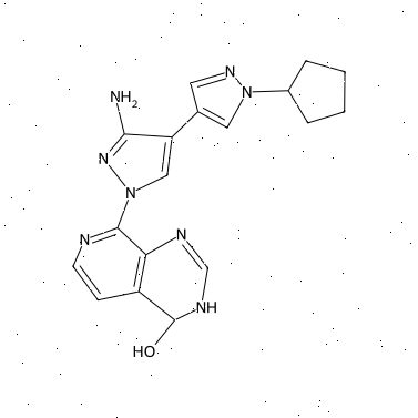 Nc1nn(-c2nccc3c2N=CNC3O)cc1-c1cnn(C2CCCC2)c1